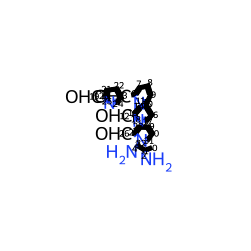 CC(N)CN.O=Cc1ccccn1.O=Cc1ccccn1.O=Cc1ccccn1.O=Cc1ccccn1